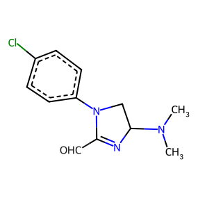 CN(C)C1CN(c2ccc(Cl)cc2)C(C=O)=N1